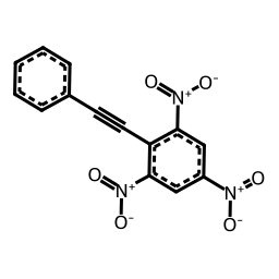 O=[N+]([O-])c1cc([N+](=O)[O-])c(C#Cc2ccccc2)c([N+](=O)[O-])c1